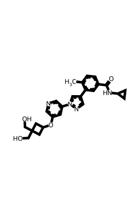 Cc1ccc(C(=O)NC2CC2)cc1-c1cnn(-c2cncc(OC3CC(CO)(CO)C3)c2)c1